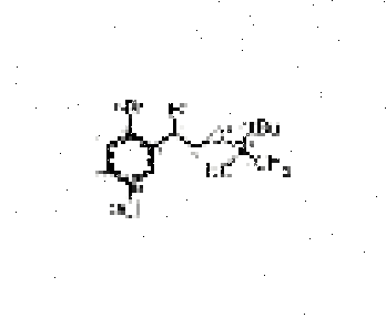 CC(C)(C)[Si](C)(C)OCC(F)c1cc(Cl)ccc1Br